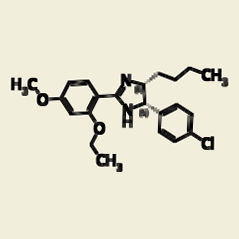 CCCC[C@H]1N=C(c2ccc(OC)cc2OCC)N[C@H]1c1ccc(Cl)cc1